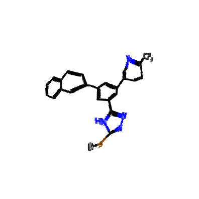 CCSc1nnc(-c2cc(-c3ccc(C(F)(F)F)nc3)cc(-c3ccc4ccccc4c3)c2)[nH]1